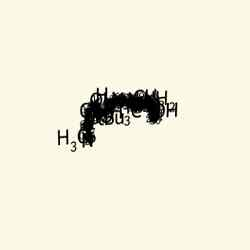 Cc1ncsc1-c1ccc(CNC(=O)[C@@H]2C[C@@H](O)CN2C(=O)[C@@H](NC(=O)[C@H]2CC[C@@H](CN3CCC(c4cnc(N5C(C)CN(c6cc(-c7ccccc7O)nnc6N)CC5C)nc4)CC3)CC2)C(C)(C)C)cc1